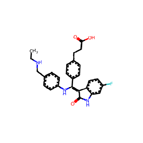 CCNCc1ccc(N/C(=C2\C(=O)Nc3cc(F)ccc32)c2ccc(CCC(=O)O)cc2)cc1